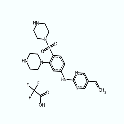 C=Cc1cnc(Nc2ccc(S(=O)(=O)N3CCNCC3)c(N3CCNCC3)c2)nc1.O=C(O)C(F)(F)F